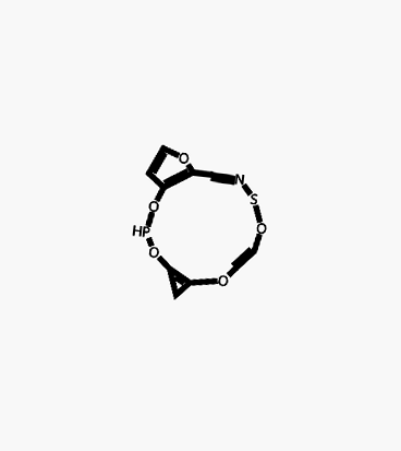 C1=COC2=C(C2)OPOc2ccoc2C=NSO1